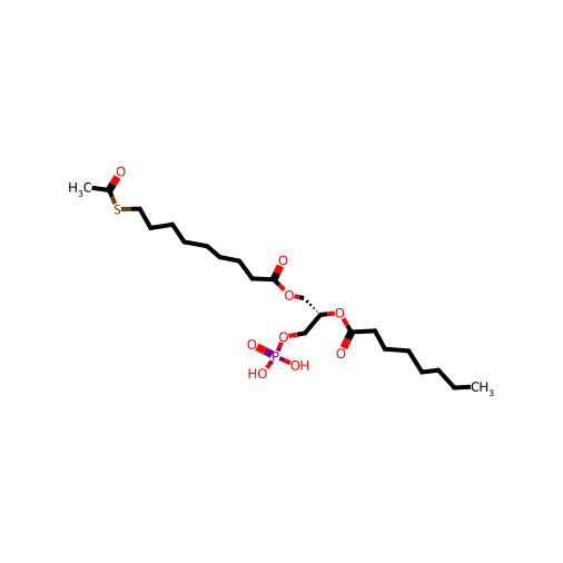 CCCCCCCC(=O)O[C@@H](COC(=O)CCCCCCCCSC(C)=O)COP(=O)(O)O